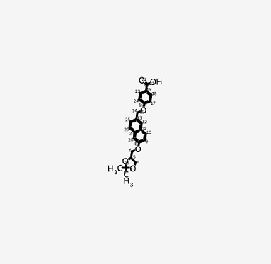 CC1(C)OCC(COc2ccc3cc(COc4ccc(C(=O)O)cc4)ccc3c2)O1